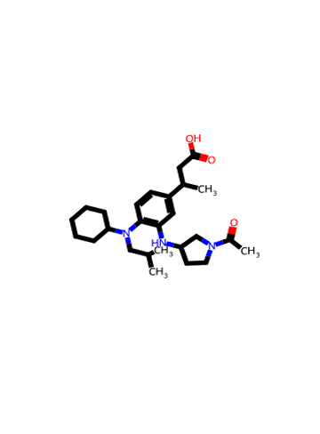 CC(=O)N1CCC(Nc2cc(C(C)CC(=O)O)ccc2N(CC(C)C)C2CCCCC2)C1